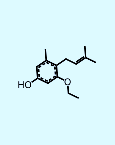 CCOc1cc(O)cc(C)c1CC=C(C)C